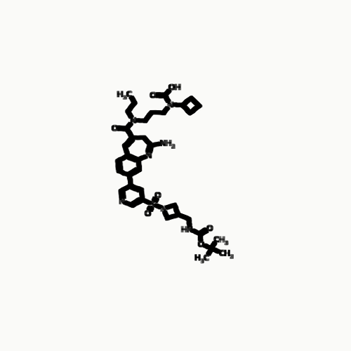 CCCN(CCCN(C(=O)O)C1CCC1)C(=O)C1=Cc2ccc(-c3cncc(S(=O)(=O)N4CC(CNC(=O)OC(C)(C)C)C4)c3)cc2N=C(N)C1